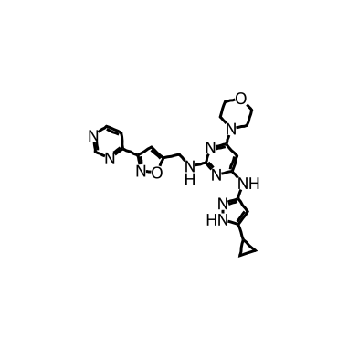 c1cc(-c2cc(CNc3nc(Nc4cc(C5CC5)[nH]n4)cc(N4CCOCC4)n3)on2)ncn1